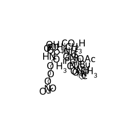 CC[C@H](C)C(NC(=O)[C@H]1CCCCN1C)C(=O)N(C)[C@H](C[C@@H](OC(C)=O)c1nc(C(=O)N[C@@H](Cc2ccc(OP(=O)(O)O)c(NC(=O)CCOCCOCCOCCN3C(=O)C=CC3=O)c2)CC(C)C(=O)O)cs1)C(C)C